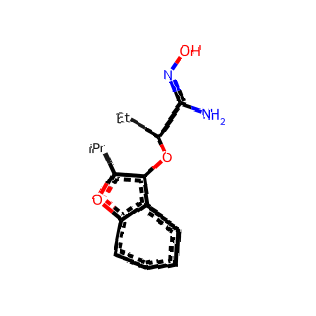 CCC(Oc1c(C(C)C)oc2ccccc12)C(N)=NO